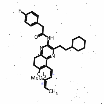 C/C=C(\C=C/C1=C(C)CCc2nc(NC(=O)Cc3ccc(F)cc3)c(CCC3CCCCC3)nc21)OC